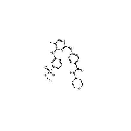 Cc1cnc(Nc2ccc(C(=O)NC3CCOCC3)cc2)nc1Nc1cccc(S(=O)(=O)NC(C)(C)C)c1